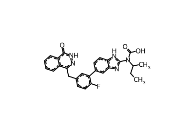 CCC(C)N(C(=O)O)c1nc2cc(-c3cc(Cc4n[nH]c(=O)c5ccccc45)ccc3F)ccc2[nH]1